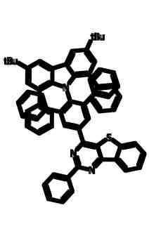 CC(C)(C)c1cc(-c2ccccc2)c2c(c1)c1cc(C(C)(C)C)cc(-c3ccccc3)c1n2-c1c(-c2ccccc2)cc(-c2nc(-c3ccccc3)nc3c2sc2ccccc23)cc1-c1ccccc1